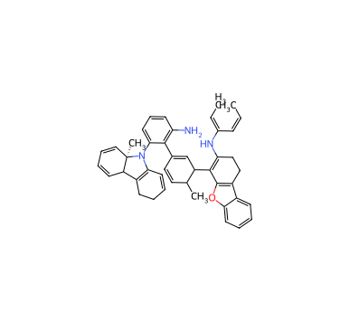 C/C=C\C(=C/C)NC1=C(C2C=C(c3c(N)cccc3N3C4=C(CCC=C4)C4C=CC=C[C@]43C)C=CC2C)c2oc3ccccc3c2CC1